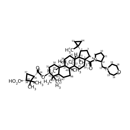 CC1([C@@H]2CC[C@]3(C(=O)N4CCC[C@H]4CN4CCOCC4)CC[C@]4(C)[C@H](CC[C@@H]5[C@@]6(C)CC[C@H](OC(=O)[C@H]7C[C@@H](C(=O)O)C7(C)C)C(C)(C)[C@@H]6CC[C@]54C)[C@@]23C)CC1